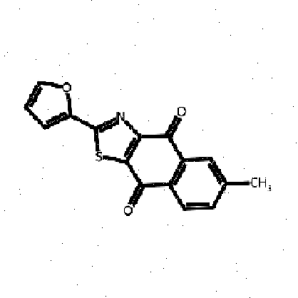 Cc1ccc2c(c1)C(=O)c1nc(-c3ccco3)sc1C2=O